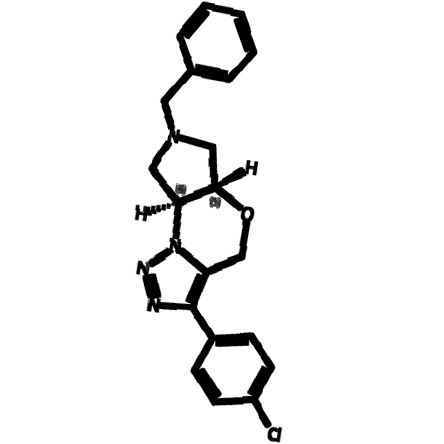 Clc1ccc(-c2nnn3c2CO[C@H]2CN(Cc4ccccc4)C[C@@H]23)cc1